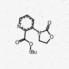 CC(C)(C)OC(=O)c1ncccc1N1CCOC1=O